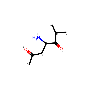 CC(=O)CC(N)C(=O)C(C)C